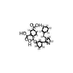 O=C(O)c1ccc(C(=O)O)c(C(=O)O)c1.c1ccc(Cn2ccnc2-c2ccccc2)cc1